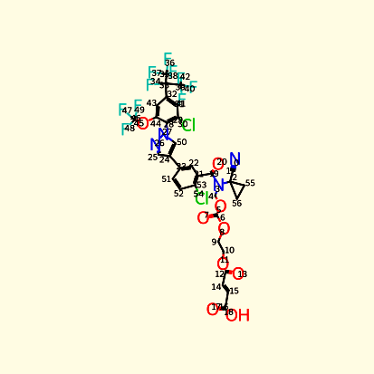 N#CC1(N(COC(=O)OCCOC(=O)/C=C/C(=O)O)C(=O)c2cc(-c3cnn(-c4c(Cl)cc(C(F)(C(F)(F)F)C(F)(F)F)cc4OC(F)(F)F)c3)ccc2Cl)CC1